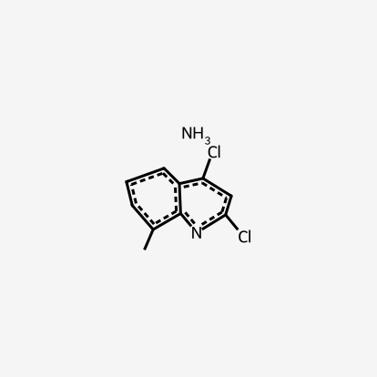 Cc1cccc2c(Cl)cc(Cl)nc12.N